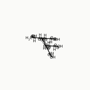 C=C(CC(=O)NCCCCCC(=O)NCCN(CCNC(=O)CCCCCNC(=O)CCOOO)C(=O)OCCOCCOC(=O)N(CCNC(=O)CCCCCNC(=O)CCC(=O)O)CCNC(=O)CCCCCNC(=O)CCC(=O)O)OO